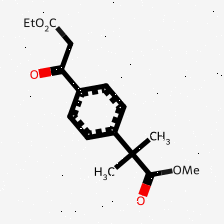 CCOC(=O)CC(=O)c1ccc(C(C)(C)C(=O)OC)cc1